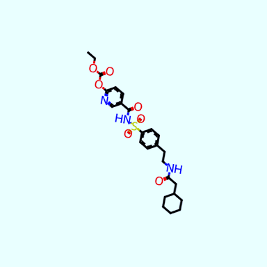 CCOC(=O)Oc1ccc(C(=O)NS(=O)(=O)c2ccc(CCNC(=O)CC3CCCCC3)cc2)cn1